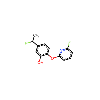 Oc1cc(C(F)C(F)(F)F)ccc1Oc1cccc(F)n1